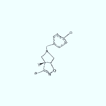 Clc1ccc(CN2CC3ON=C(Br)[C@@H]3C2)cc1